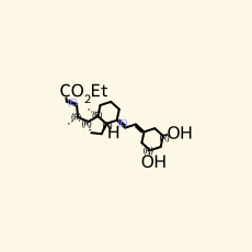 CCOC(=O)/C=C/[C@@H](C)[C@H]1CC[C@H]2/C(=C/C=C3C[C@@H](O)C[C@H](O)C3)CCC[C@]12C